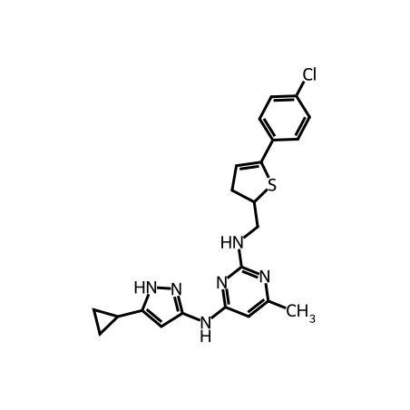 Cc1cc(Nc2cc(C3CC3)[nH]n2)nc(NCC2CC=C(c3ccc(Cl)cc3)S2)n1